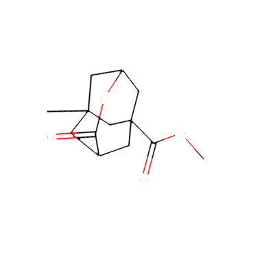 COC(=O)C12CC3CC(C)(CC(C1)C(=O)O3)C2